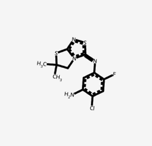 CC1(C)Cn2c(nsc2=Nc2cc(N)c(Cl)cc2F)S1